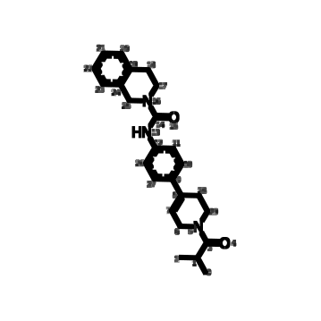 CC(C)C(=O)N1CC=C(c2ccc(NC(=O)N3CCc4ccccc4C3)cc2)CC1